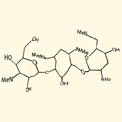 CNCC1OC(OC2C(NC)CC(NC)C(OC3OC(CO)C(O)C(NC)C3O)C2O)C(NC)CC1O